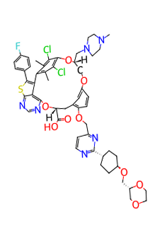 Cc1c(Cl)c2c(Cl)c(C)c1-c1c(-c3ccc(F)cc3)sc3ncnc(c13)O[C@@H](C(=O)O)Cc1cc(ccc1OCc1ccnc([C@H]3CC[C@H](OC[C@H]4COCCO4)CC3)n1)OC[C@@H](CN1CCN(C)CC1)O2